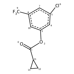 O=C(Oc1cc(Cl)cc(C(F)(F)F)c1)C1CC1